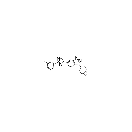 Cc1cc(C)cc(C2=NCC(c3ccc4c(c3)N=NC4C3CCOCC3)=N2)c1